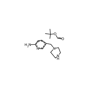 CC(C)(C)OC=O.Nc1ccc(CN2CCNCC2)cn1